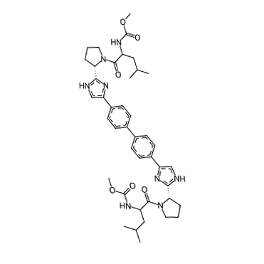 COC(=O)NC(CC(C)C)C(=O)N1CCC[C@H]1c1nc(-c2ccc(-c3ccc(-c4c[nH]c([C@@H]5CCCN5C(=O)C(CC(C)C)NC(=O)OC)n4)cc3)cc2)c[nH]1